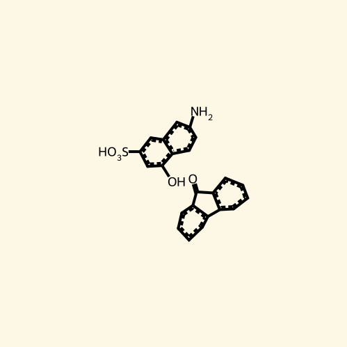 Nc1ccc2c(O)cc(S(=O)(=O)O)cc2c1.O=C1c2ccccc2-c2ccccc21